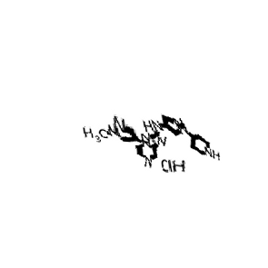 Cl.Cn1cc([N+]23C=CN=CC2=NC(Nc2cnn(C4CCNCC4)c2)=N3)cn1